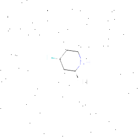 C[C@H]1C[C@@H](F)CCN1